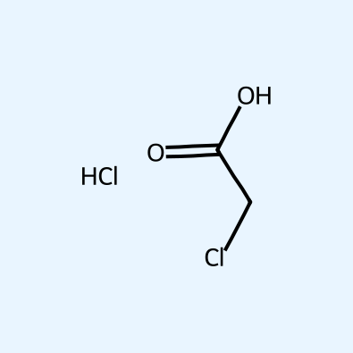 Cl.O=C(O)CCl